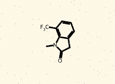 CN1C(=O)Cc2cccc(C(F)(F)F)c21